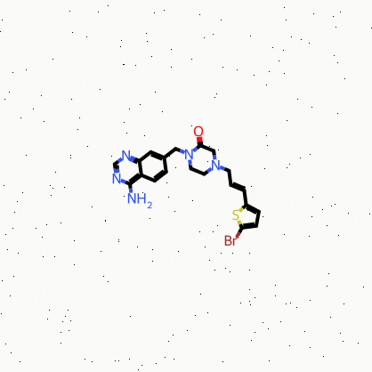 Nc1ncnc2cc(CN3CCN(C/C=C/c4ccc(Br)s4)CC3=O)ccc12